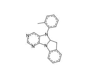 Cc1ccccc1N1c2cncnc2N2c3ccccc3CC12